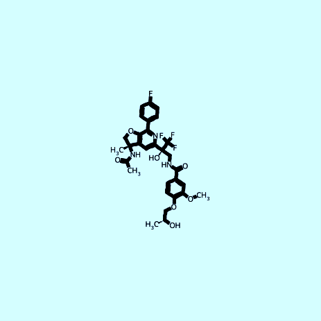 COc1cc(C(=O)NC[C@@](O)(c2cc3c(c(-c4ccc(F)cc4)n2)OC[C@@]3(C)NC(C)=O)C(F)(F)F)ccc1OC[C@@H](C)O